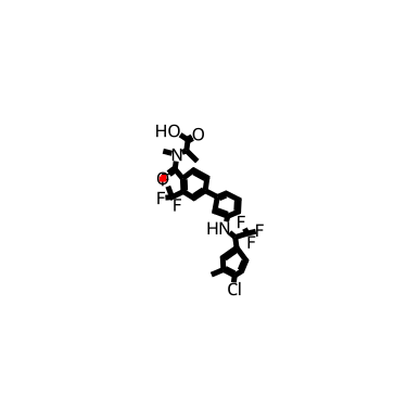 Cc1cc(C(Nc2cccc(-c3ccc(C(=O)N(C)C(C)C(=O)O)c(C(F)(F)F)c3)c2)C(F)(F)F)ccc1Cl